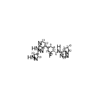 Cc1cc2c(NCc3ccc(-c4ccnc5[nH]c(-c6cn[nH]c6)nc45)cc3F)ncnn2c1